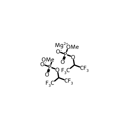 COP(=O)([O-])OC(C(F)(F)F)C(F)(F)F.COP(=O)([O-])OC(C(F)(F)F)C(F)(F)F.[Mg+2]